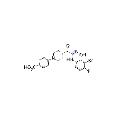 O=C(O)c1ccc(N2CCC(C(=O)/C(=N/O)Nc3ccc(F)c(Br)c3)CC2)cc1